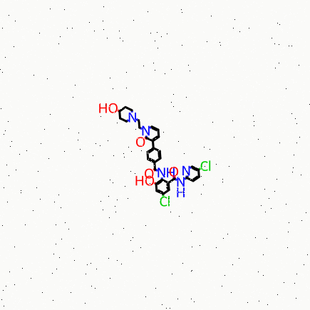 O=C(Nc1c(O)cc(Cl)cc1C(=O)Nc1ccc(Cl)cn1)c1ccc(-c2cccn(CCN3CCC(O)CC3)c2=O)cc1